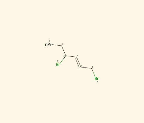 CCCCC(Br)C=CCBr